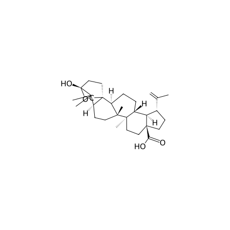 C=C(C)[C@@H]1CC[C@]2(C(=O)O)CC[C@]3(C)[C@H](CC[C@@H]4[C@]56CC[C@@](O)(OC5)C(C)(C)[C@@H]6CC[C@]43C)[C@@H]12